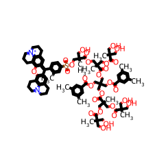 Cc1cc(C)cc(C(=O)OCC(COC(=O)c2cc(C)cc(C)c2)(COC(=O)C(C)(COC(=O)C(C)(CO)CO)COC(=O)C(C)(CO)CO)COC(=O)C(C)(COC(=O)C(C)(CO)CO)COC(=O)C(C)(CO)COS(=O)(=O)c2ccc(C3=c4cc5c6c(c4Oc4c3cc3c7c4CCCN7CCC3)CCC[N+]=6CCC5)c(C)c2)c1